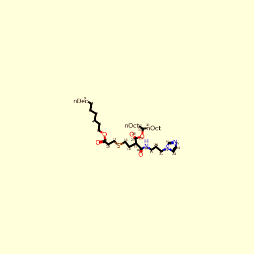 CCCCCCCCCCCCCCCCOC(=O)CCSCCC(C(=O)NCCCn1ccnc1)C(=O)OC(CCCCCCCC)CCCCCCCC